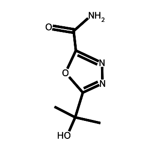 CC(C)(O)c1nnc(C(N)=O)o1